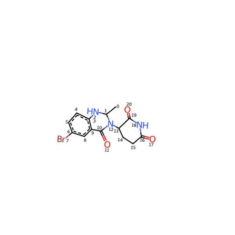 CC1Nc2ccc(Br)cc2C(=O)N1C1CCC(=O)NC1=O